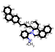 C=Nc1ccccc1N1Cc2ccc3ccccc3c2C(/C=C\C)=C1CC=CCc1ccc2c(ccc3ccccc32)c1